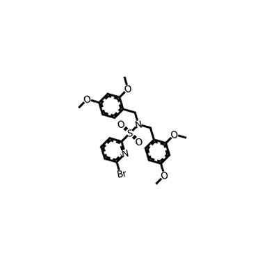 COc1ccc(CN(Cc2ccc(OC)cc2OC)S(=O)(=O)c2cccc(Br)n2)c(OC)c1